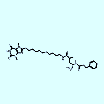 CC(C[C@H](NC(=O)OCc1ccccc1)C(=O)O)C(=O)NCCCCCCCCCCCc1nc2c(c(=O)[nH]c(=O)n2C)n1C